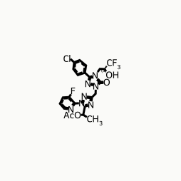 CC(=O)OC(C)c1nc(Cn2nc(-c3ccc(Cl)cc3)n(C[C@H](O)C(F)(F)F)c2=O)nn1-c1ncccc1F